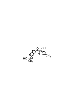 Cc1ccc([C@@H](CO)NC(=O)c2ccc3cnc(N[C@@H](C)CO)cc3c2)cc1